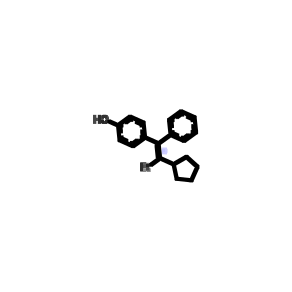 CC/C(=C(/c1ccccc1)c1ccc(O)cc1)C1CCCC1